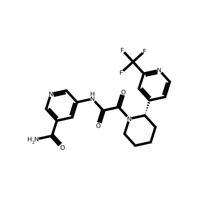 NC(=O)c1cncc(NC(=O)C(=O)N2CCCC[C@H]2c2ccnc(C(F)(F)F)c2)c1